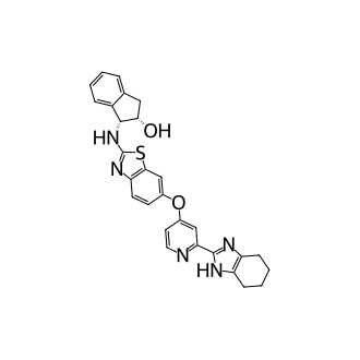 O[C@H]1Cc2ccccc2[C@H]1Nc1nc2ccc(Oc3ccnc(-c4nc5c([nH]4)CCCC5)c3)cc2s1